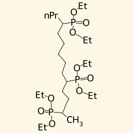 CCCC(CCCCCC(CCC(C)P(=O)(OCC)OCC)P(=O)(OCC)OCC)P(=O)(OCC)OCC